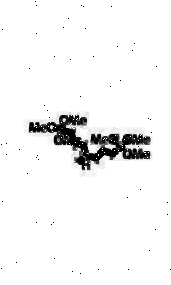 CO[Si](CCC[SH](C)CCC[Si](OC)(OC)OC)(OC)OC